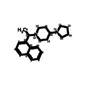 CC(c1cccc2ccccc12)N1CCC(N2CCCC2)CC1